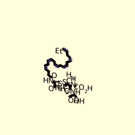 CC/C=C\C/C=C\C/C=C\C/C=C\C/C=C\C/C=C\CCC(=O)N[C@@H](CSSC(C)(C)[C@H](NC(=O)O)C(=O)NC(CO)CO)C(N)=O